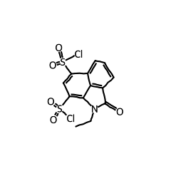 CCN1C(=O)c2cccc3c(S(=O)(=O)Cl)cc(S(=O)(=O)Cl)c1c23